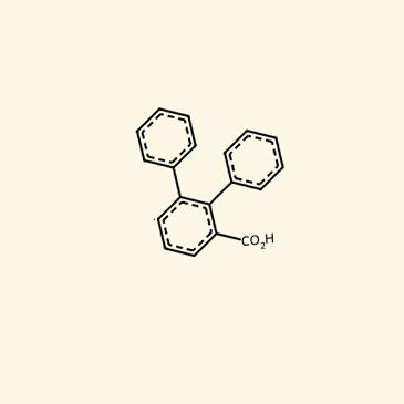 O=C(O)c1cc[c]c(-c2ccccc2)c1-c1ccccc1